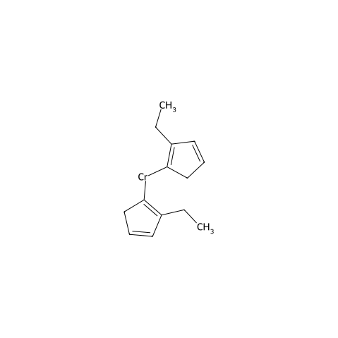 CCC1=[C]([Cr][C]2=C(CC)C=CC2)CC=C1